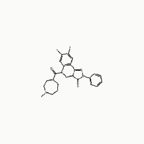 CN1CCCN(C(=O)N2CC3C(=O)N(c4ccccc4)N=C3c3cc(F)c(F)cc32)CC1